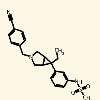 CCC1(c2cccc(NS(C)(=O)=O)c2)C2CN(Cc3ccc(C#N)cc3)CC21